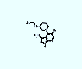 CC(C)(C)CN[C@@H]1CCCN(c2c(Br)cnc3[nH]cc(N)c23)C1